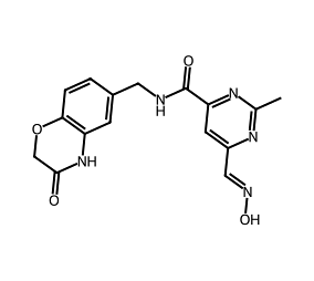 Cc1nc(/C=N/O)cc(C(=O)NCc2ccc3c(c2)NC(=O)CO3)n1